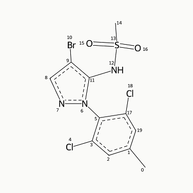 Cc1cc(Cl)c(-n2ncc(Br)c2NS(C)(=O)=O)c(Cl)c1